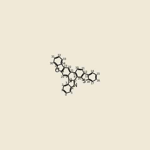 c1ccc2c(c1)nc1c3c(ccc4c5ccccc5sc43)c3cc4c(cc3n21)oc1ccccc14